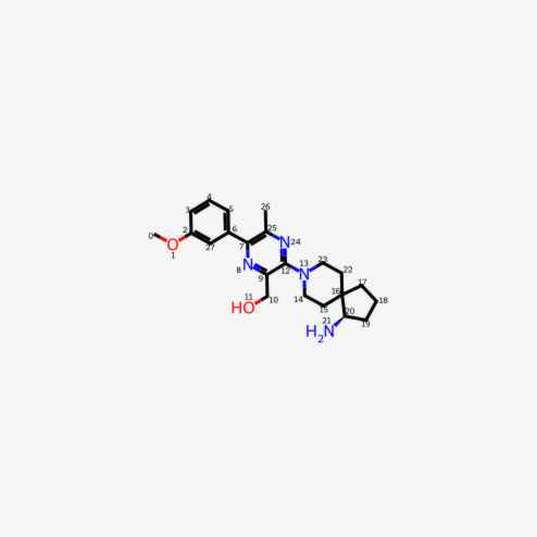 COc1cccc(-c2nc(CO)c(N3CCC4(CCC[C@H]4N)CC3)nc2C)c1